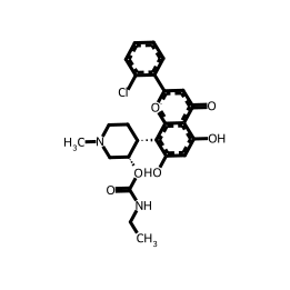 CCNC(=O)O[C@@H]1CN(C)CC[C@@H]1c1c(O)cc(O)c2c(=O)cc(-c3ccccc3Cl)oc12